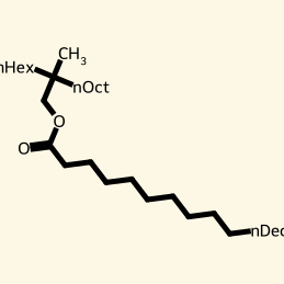 CCCCCCCCCCCCCCCCCCCC(=O)OCC(C)(CCCCCC)CCCCCCCC